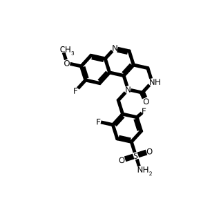 COc1cc2ncc3c(c2cc1F)N(Cc1c(F)cc(S(N)(=O)=O)cc1F)C(=O)NC3